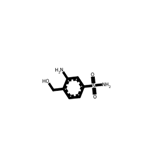 Nc1cc(S(N)(=O)=O)ccc1CO